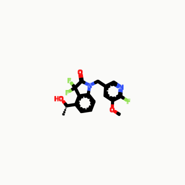 COc1cc(CN2C(=O)C(F)(F)c3c([C@H](C)O)cccc32)cnc1F